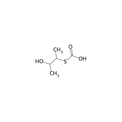 CC(O)C(C)SC(=O)O